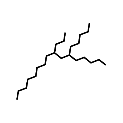 CCCCCCCCC(CCC)CC(CCCCC)CCCCC